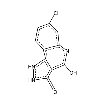 O=c1[nH][nH]c2c1c(O)nc1cc(Cl)ccc12